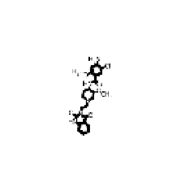 COc1cc(N)c(Cl)cc1C(=O)N[C@H]1CCN(CCn2c(=O)[nH]c3ccccc3c2=O)C[C@H]1OC